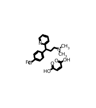 CN(C)CCC(c1ccc(Cl)cc1)c1ccccn1.O=C(O)/C=C\C(=O)O.[Fe]